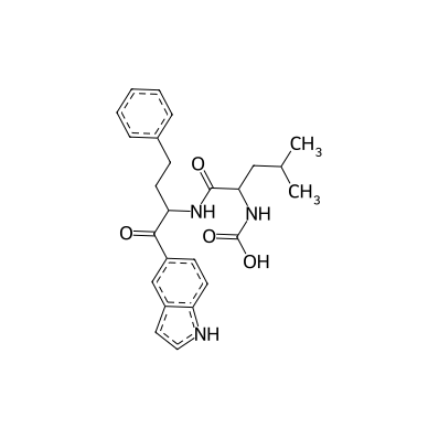 CC(C)CC(NC(=O)O)C(=O)NC(CCc1ccccc1)C(=O)c1ccc2[nH]ccc2c1